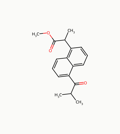 COC(=O)C(C)c1cccc2c(C(=O)C(C)C)cccc12